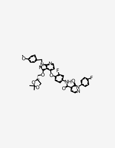 COc1ccc(Cn2nc(OC[C@@H]3COC(C)(C)O3)c3c(Oc4ccc(NC(=O)c5ccnn(-c6ccc(F)cc6)c5=O)cc4F)ccnc32)cc1